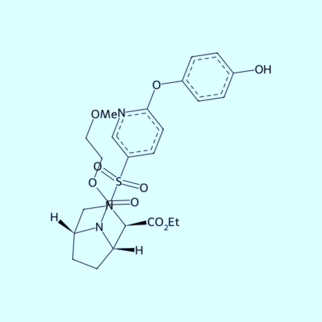 CCOC(=O)[C@H]1[C@@H]2CC[C@H](CN1S(=O)(=O)c1ccc(Oc3ccc(O)cc3)nc1)N2C(=O)OCCOC